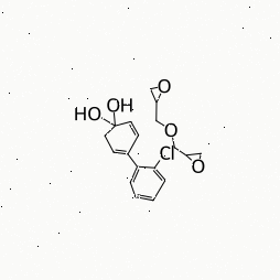 C(OCC1CO1)C1CO1.OC1(O)C=CC(c2ccccc2Cl)=CC1